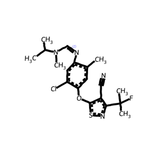 Cc1cc(Oc2snc(C(C)(C)F)c2C#N)c(Cl)cc1/N=C\N(C)C(C)C